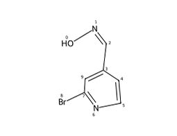 O/N=C\c1ccnc(Br)c1